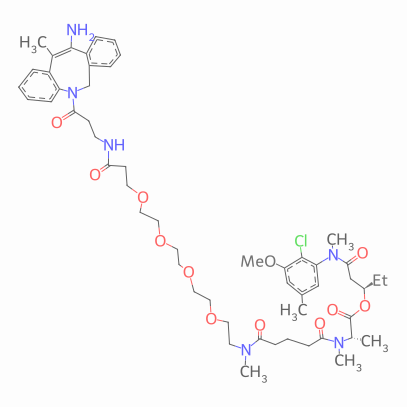 CC[C@H](CC(=O)N(C)c1cc(C)cc(OC)c1Cl)OC(=O)[C@H](C)N(C)C(=O)CCCC(=O)N(C)CCOCCOCCOCCOCCC(=O)NCCC(=O)N1Cc2ccccc2/C(N)=C(/C)c2ccccc21